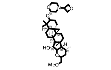 COCC1C[C@@H](C)[C@H]2C(O1)[C@H](O)[C@@]1(C)[C@@H]3CC[C@H]4C(C)(C)C(O[C@H]5CN(C6COC6)CCO5)CC[C@@]45C[C@@]35CC[C@]21C